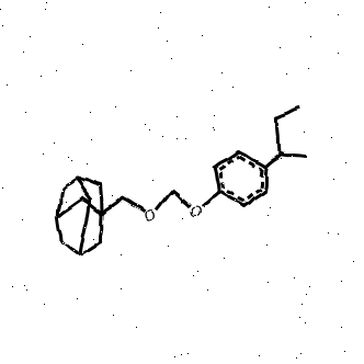 CCC(C)c1ccc(OCOCC23CC4CC(CC(C4)C2)C3)cc1